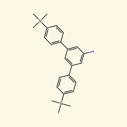 C[Si](C)(C)c1ccc(-c2cc(I)cc(-c3ccc([Si](C)(C)C)cc3)c2)cc1